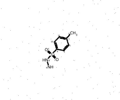 Cc1ccc(S(=O)(=O)N[NH])cc1